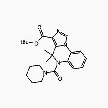 CC(C)(C)OC(=O)c1ncn2c1C(C)(C)N(C(=O)N1CCCCC1)c1ccccc1-2